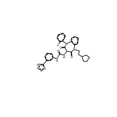 O=C(Nc1cccc(-c2nnn[nH]2)c1)NC1C(=O)N(CCC2CCCC2)c2ccccc2N(c2ccccc2F)C1=O